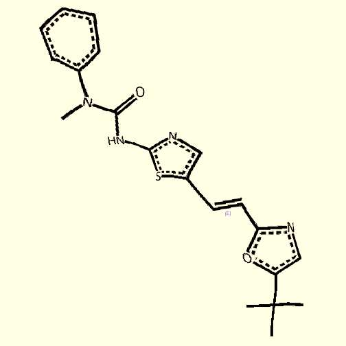 CN(C(=O)Nc1ncc(/C=C/c2ncc(C(C)(C)C)o2)s1)c1ccccc1